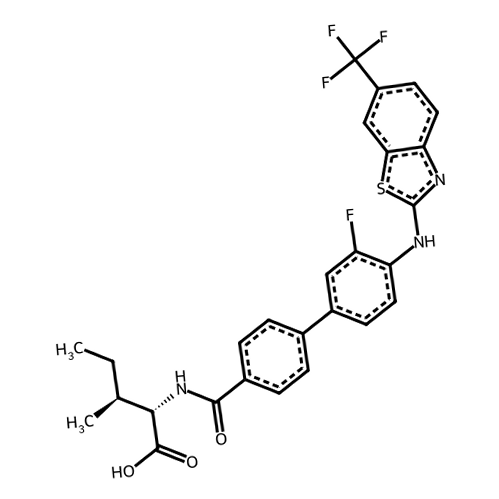 CC[C@H](C)[C@H](NC(=O)c1ccc(-c2ccc(Nc3nc4ccc(C(F)(F)F)cc4s3)c(F)c2)cc1)C(=O)O